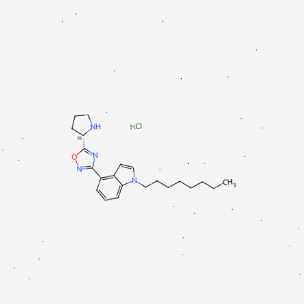 CCCCCCCCn1ccc2c(-c3noc([C@@H]4CCCN4)n3)cccc21.Cl